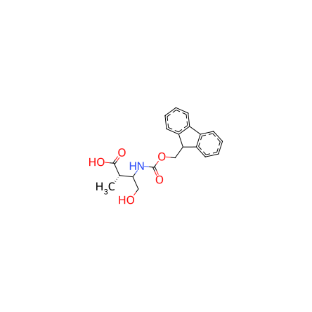 C[C@H](C(=O)O)C(CO)NC(=O)OCC1c2ccccc2-c2ccccc21